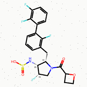 O=C(C1CCO1)N1C[C@H](F)[C@H](NS(=O)O)[C@@H]1Cc1cccc(-c2cccc(F)c2F)c1F